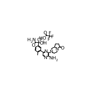 Cc1ccc(C(O)(C(N)=O)C(F)(F)F)cc1-c1cnc(N)c(N2CCN3C(=O)CCC3C2)n1.O=C(O)C(F)(F)F